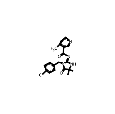 CC1(C)N/C(=N/C(=O)c2cnccc2C(F)(F)F)N(Cc2ccc(Cl)cc2)C1=O